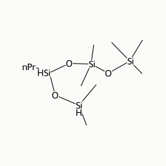 CCC[SiH](O[SiH](C)C)O[Si](C)(C)O[Si](C)(C)C